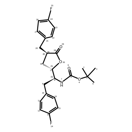 CC(C)(C)OC(=O)N[C@@H](Cc1ccc(F)cc1)[C@@H]1C[C@@H](Cc2ccc(F)cc2)C(=O)O1